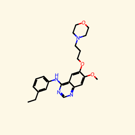 CCc1cccc(Nc2ncnc3cc(OC)c(OCCCN4CCOCC4)cc23)c1